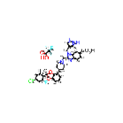 CC1(c2ccc(Cl)cc2F)Oc2cccc(C3CCN(Cc4nc5ccc(C(=O)O)cc5n4Cc4cn[nH]c4)CC3)c2O1.O=C(O)C(F)(F)F